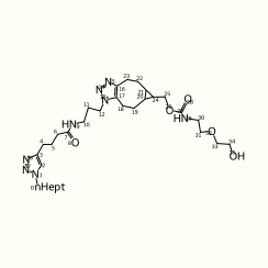 CCCCCCCn1cc(CCCC(=O)NCCCn2nnc3c2CCC2C(CC3)C2COC(=O)NCCOCCO)nn1